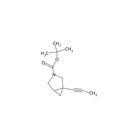 CC#CC12CC1CN(C(=O)OC(C)(C)C)C2